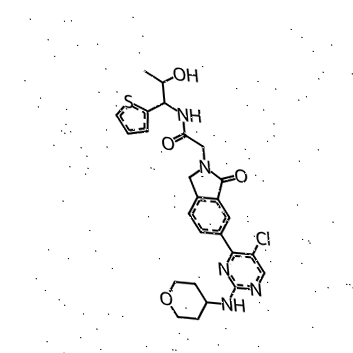 CC(O)C(NC(=O)CN1Cc2ccc(-c3nc(NC4CCOCC4)ncc3Cl)cc2C1=O)c1cccs1